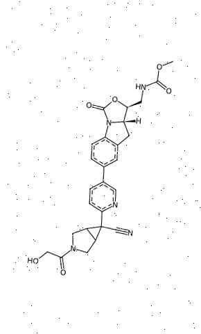 COC(=O)NC[C@@H]1OC(=O)N2c3ccc(-c4ccc(C5(C#N)C6CN(C(=O)CO)CC65)nc4)cc3C[C@@H]12